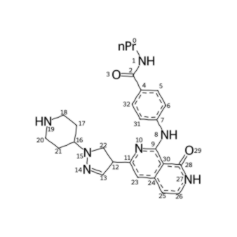 CCCNC(=O)c1ccc(Nc2nc(C3C=NN(C4CCNCC4)C3)cc3cc[nH]c(=O)c23)cc1